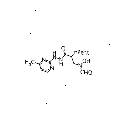 CCCCCC(CN(O)C=O)C(=O)NNc1nccc(C)n1